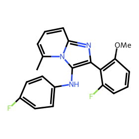 COc1cccc(F)c1-c1nc2cccc(C)n2c1Nc1ccc(F)cc1